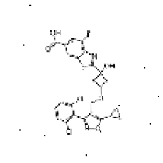 O=C(O)c1cc(F)c2nc(C3(O)CC(OCc4c(-c5c(Cl)cccc5Cl)noc4C4CC4)C3)sc2c1